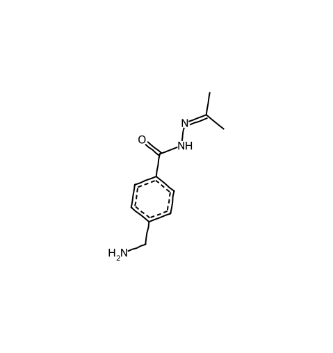 CC(C)=NNC(=O)c1ccc(CN)cc1